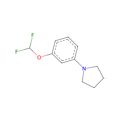 FC(F)Oc1cccc(N2C[CH]CC2)c1